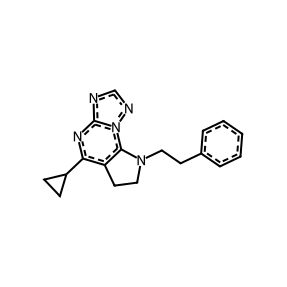 c1ccc(CCN2CCc3c(C4CC4)nc4ncnn4c32)cc1